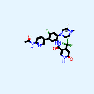 CC(=O)Nc1ccc(-c2cc(NC(=O)c3c[nH]c(=O)cc3C(F)(F)F)c(N3CCN(C)[C@@H](C)C3)cc2F)cn1